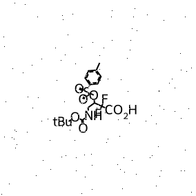 Cc1ccc(S(=O)(=O)OC(CNC(=O)OC(C)(C)C)C(F)(F)C(=O)O)cc1